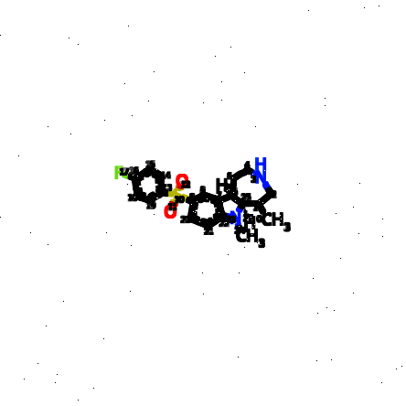 CC1CNCC[C@@H]2c3cc(S(=O)(=O)c4ccc(F)cc4)ccc3N(C)[C@H]12